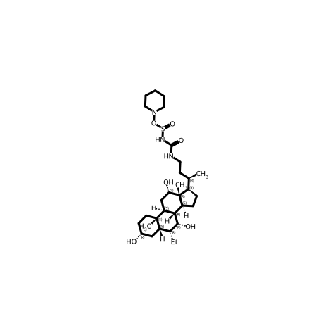 CC[C@H]1[C@@H](O)[C@@H]2[C@H](C[C@H](O)[C@]3(C)[C@@H]([C@H](C)CCNC(=O)NS(=O)ON4CCCCC4)CC[C@@H]23)[C@@]2(C)CC[C@@H](O)C[C@@H]12